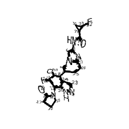 O=C(Nc1cn2cc(-c3c(Cl)c(F)c(N4CCCC4=O)c4[nH]ncc34)ccc2n1)C1CC1F